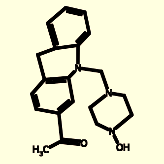 CC(=O)c1ccc2c(c1)N(CN1CCN(O)CC1)c1ccccc1C2